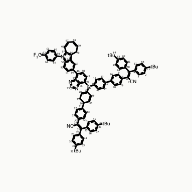 CC(C)(C)c1ccc(C(=C(C#N)c2ccc(-c3ccc(N(C4=CCC(c5ccc(C(C#N)=C(c6ccc(C(C)(C)C)cc6)c6ccc(C(C)(C)C)cc6)cc5)C=C4)c4ccc(-c5ccc6c(c5)c5c(n6-c6ccc(C(F)(F)F)cc6)C=CC=CC5)c5nsnc45)cc3)cc2)c2ccc(C(C)(C)C)cc2)cc1